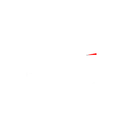 CC(C)C1CC[C@@H](O)C(F)C1